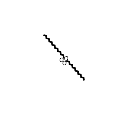 CCCCCCCCCCCCCCC(=O)OC(=O)CCCCCCCCCCCC